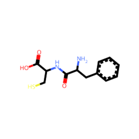 NC(Cc1ccccc1)C(=O)NC(CS)C(=O)O